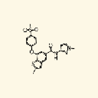 Cc1cc2cc(C(=O)Nc3ccn(C)n3)cc(Oc3ccc(S(C)(=O)=O)cc3)c2s1